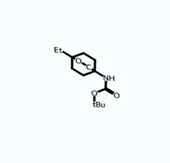 CCC12CCC(NC(=O)OC(C)(C)C)(CC1)CO2